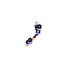 O=c1ccc2ccc(OCCCCN3CCN4c5cccc6[nH]cc(c56)CC4C3)cc2[nH]1